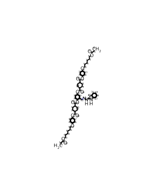 C=CC(=O)OCCCCCCOc1ccc(OC(=O)C2CCC(C(=O)Oc3ccc(OC(=O)C4CCC(C(=O)Oc5ccc(OCCCCCCOC(=O)C=C)cc5)CC4)c(/C=N/NC4Nc5ccccc5S4)c3)CC2)cc1